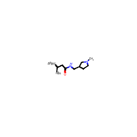 CCCCCC(CCCC)CC(=O)NCC1CCN(C)C1